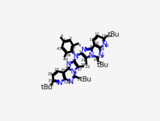 Cc1cc(C)c(N(c2nc3c4ccc(C(C)(C)C)nc4nc(C(C)(C)C)n3c2C)c2nc3c4ccc(C(C)(C)C)nc4nc(C(C)(C)C)n3c2C)c(C)c1